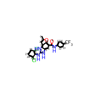 Cc1cc2c3c(cc(C(=O)Nc4ccc(C(F)(F)F)cc4)c2o1)NC(Nc1c(Cl)cccc1Cl)N3